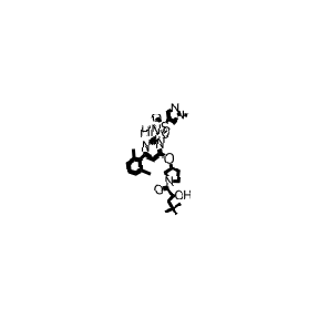 Cc1cccc(C)c1-c1cc(OC2CCN(C(=O)C(O)CC(C)(C)C)C2)nc(NS(=O)(=O)c2cnn(C)c2)n1